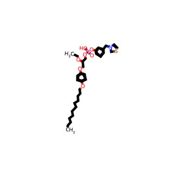 CCCCCCCCCCCCOc1ccc(OCC(COP(=O)(O)Oc2cccc(CN3C=CSC3)c2)OCC)cc1